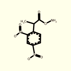 CC(C(=O)ON)c1ccc([N+](=O)[O-])cc1[N+](=O)[O-]